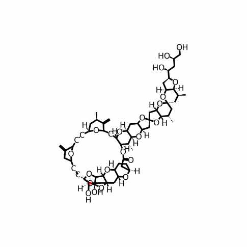 C=C1CC2CC[C@@]34OC5[C@H]6O[C@H](CC[C@@H]6O[C@H]6C(O3)[C@](O)(O[C@@H]56)[C@H]4O)CC(=O)O[C@@H]3[C@@H](C)[C@@H]4O[C@@H]5C[C@]6(C[C@@H]7O[C@]8(C[C@H](C)[C@@H]9O[C@H]([C@@H](O)C[C@@H](O)CO)C[C@@H]9O8)C[C@H](C)[C@@H]7O6)OC5C[C@@H]4O[C@H]3CC3O[C@@H](CCC1O2)C[C@@H](C)C3=C